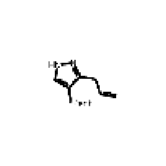 C=CCc1n[nH]cc1CCCCC